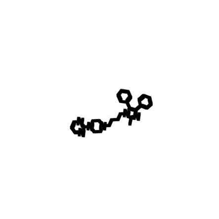 Cc1nc(-c2ccccc2)c(-c2ccccc2)n1CCCCN1CCN(c2ncccn2)CC1